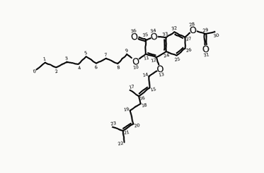 CCCCCCCCCCOc1c(OC/C=C(\C)CCC=C(C)C)c2ccc(OC(C)=O)cc2oc1=O